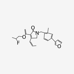 C=C(OCC(C)F)C1=C(/C=C\C)CN(Cc2ccc(-c3ccoc3)cc2C)C1=O